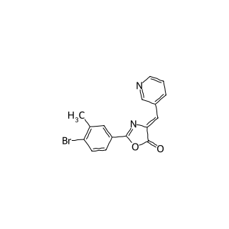 Cc1cc(C2=N/C(=C\c3cccnc3)C(=O)O2)ccc1Br